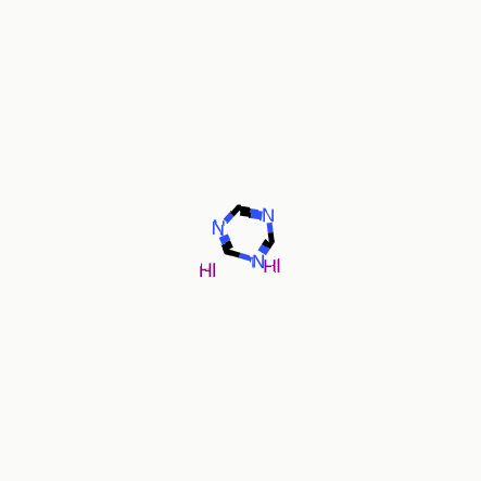 I.I.c1ncncn1